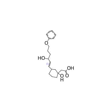 O=C(O)CC1(O)CCCC(/C=C/C(O)CCCOc2ccccc2)C1